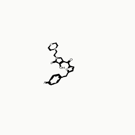 O=C(C1=C(O)C(=O)N(CCN2CCOCC2)C1)c1ccc(Cc2ccc(F)cc2)o1